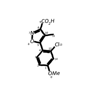 COc1ccc(-c2onc(C(=O)O)c2C)c(Cl)c1